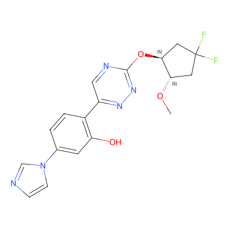 CO[C@H]1CC(F)(F)C[C@@H]1Oc1ncc(-c2ccc(-n3ccnc3)cc2O)nn1